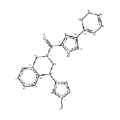 Cn1ccc(C2CN(C(=O)c3cc(C4=CC=CCC4)no3)Cc3ccccc32)c1